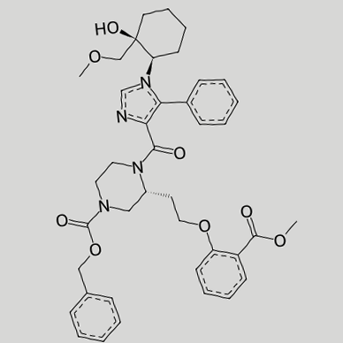 COC[C@]1(O)CCCC[C@H]1n1cnc(C(=O)N2CCN(C(=O)OCc3ccccc3)C[C@H]2CCOc2ccccc2C(=O)OC)c1-c1ccccc1